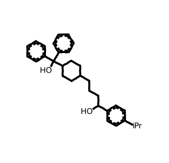 CC(C)c1ccc(C(O)CCCC2CCC(C(O)(c3ccccc3)c3ccccc3)CC2)cc1